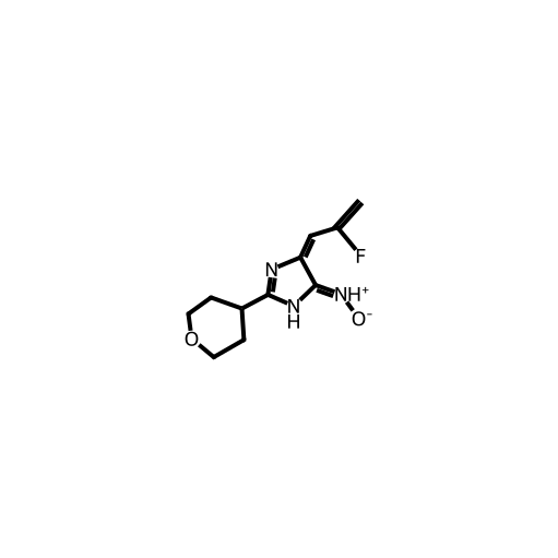 C=C(F)/C=C1/N=C(C2CCOCC2)N/C1=[NH+]\[O-]